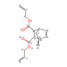 C=CCOC(=O)C1C2C=C[C@@H](C2)C1C(=O)OCC=C